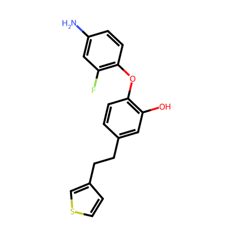 Nc1ccc(Oc2ccc(CCc3ccsc3)cc2O)c(F)c1